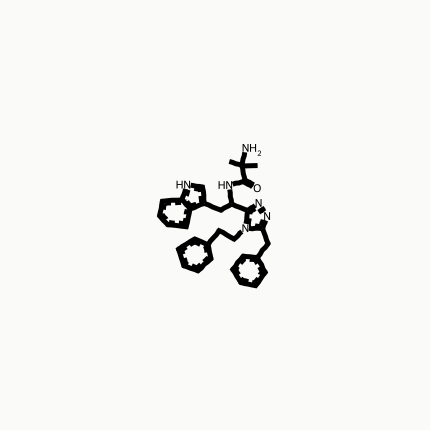 CC(C)(N)C(=O)NC(Cc1c[nH]c2ccccc12)c1nnc(Cc2ccccc2)n1CCc1ccccc1